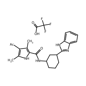 CC(=O)c1c(C)[nH]c(C(=O)NC2CCCC(c3nc4ccccc4[nH]3)C2)c1C.O=C(O)C(F)(F)F